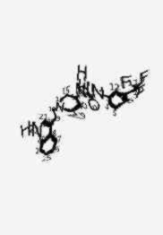 O=C(Nc1cccc(C(F)(F)F)c1)NC1CCN(CCc2c[nH]c3ccccc23)CC1